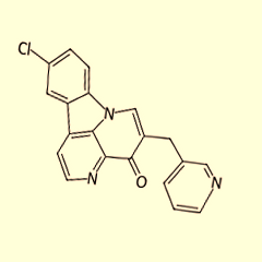 O=c1c(Cc2cccnc2)cn2c3ccc(Cl)cc3c3ccnc1c32